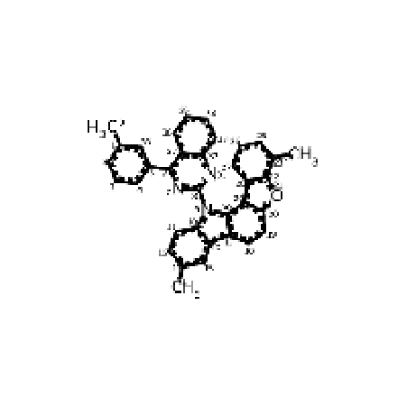 Cc1cccc(-c2nc(-n3c4ccc(C)cc4c4ccc5oc6c(C)cccc6c5c43)nc3ccccc23)c1